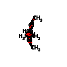 CCCCCCC1CCC(OC(=O)c2ccc(/C=C/C(=O)C(O)C(Cc3ccc(N)cc3)(Cc3ccc(N)cc3)C(O)C(=O)/C=C/c3ccc(C(=O)OC4CCC(CCCCCC)CC4)cc3)cc2)CC1